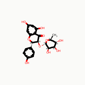 C[C@@H]1O[C@@H](O[C@@H]2C(=O)c3c(O)cc(O)cc3O[C@H]2c2ccc(O)cc2)[C@H](O)[C@H](O)[C@H]1O